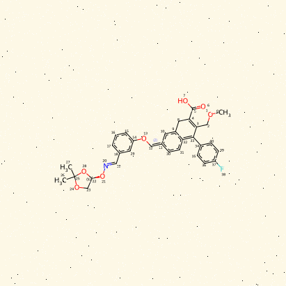 COCC1=C(C(=O)O)Cc2c/c(=C\Oc3cccc(C=NO[C@H]4COC(C)(C)O4)c3)ccc2=C1c1ccc(F)cc1